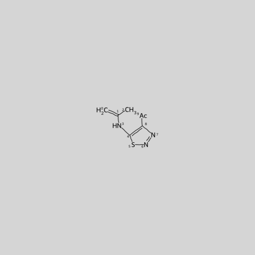 C=C(C)Nc1snnc1C(C)=O